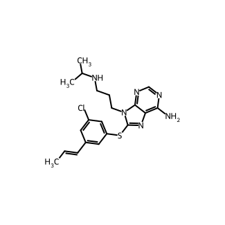 CC=Cc1cc(Cl)cc(Sc2nc3c(N)ncnc3n2CCCNC(C)C)c1